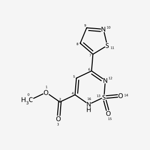 COC(=O)C1=CC(c2ccns2)=NS(=O)(=O)N1